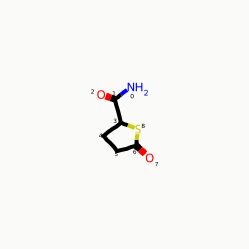 NC(=O)C1CCC(=O)S1